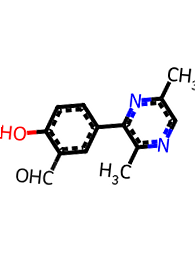 Cc1cnc(C)c(-c2ccc(O)c(C=O)c2)n1